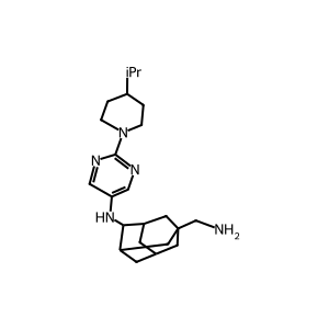 CC(C)C1CCN(c2ncc(NC3C4CC5CC3CC(CN)(C5)C4)cn2)CC1